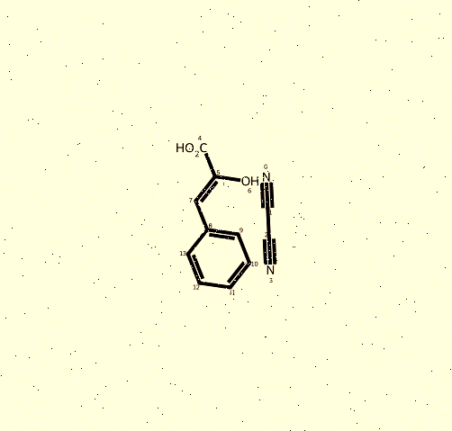 N#CC#N.O=C(O)C(O)=Cc1ccccc1